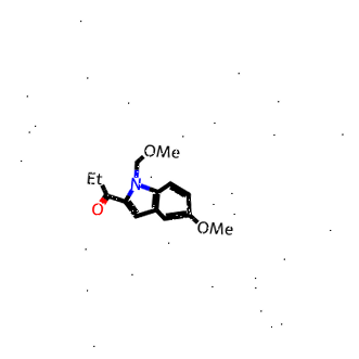 CCC(=O)c1cc2cc(OC)ccc2n1COC